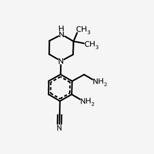 CC1(C)CN(c2ccc(C#N)c(N)c2CN)CCN1